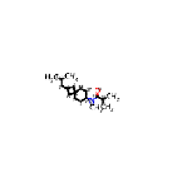 CC(C)CC1CC2(CCC(N(C)C(=O)C(C)C)CC2)C1